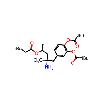 CCC(C)CC(=O)O[C@@H](C)CC(N)(Cc1ccc(OC(=O)C(C)CC)c(OC(=O)C(C)CC)c1)C(=O)O